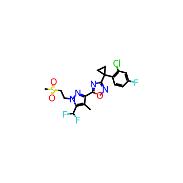 Cc1c(-c2nc(C3(c4ccc(F)cc4Cl)CC3)no2)nn(CCS(C)(=O)=O)c1C(F)F